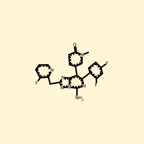 Cn1cc(-c2c(-c3ccc(F)cc3F)nc(N)n3nc(Cc4ncccc4F)nc23)ccc1=O